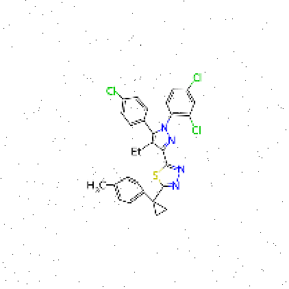 CCc1c(-c2nnc(C3(c4ccc(C)cc4)CC3)s2)nn(-c2ccc(Cl)cc2Cl)c1-c1ccc(Cl)cc1